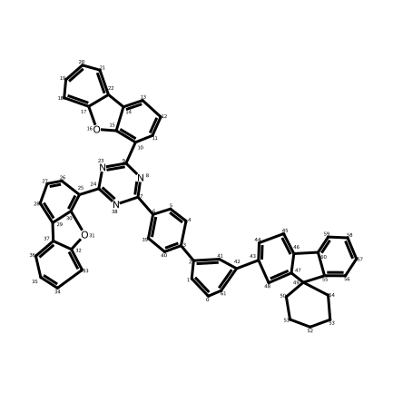 c1cc(-c2ccc(-c3nc(-c4cccc5c4oc4ccccc45)nc(-c4cccc5c4oc4ccccc45)n3)cc2)cc(-c2ccc3c(c2)C2(CCCCC2)c2ccccc2-3)c1